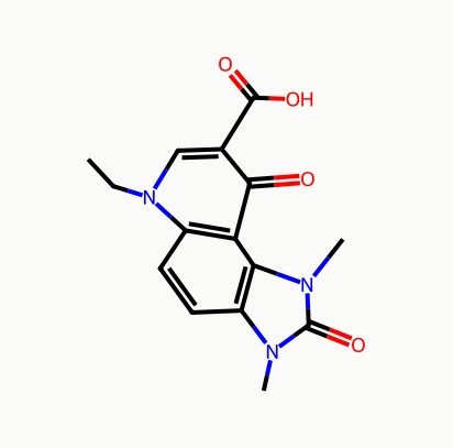 CCn1cc(C(=O)O)c(=O)c2c1ccc1c2n(C)c(=O)n1C